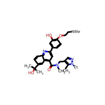 CCn1ncc(CN(C)C(=O)c2cc(-c3ccc(OCCNC)c(O)c3)nc3ccc(C(C)(C)O)cc23)c1C